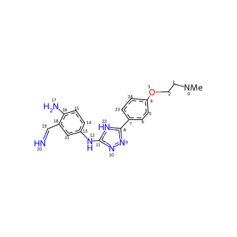 CNCCOc1ccc(-c2nnc(Nc3ccc(N)c(C=N)c3)[nH]2)cc1